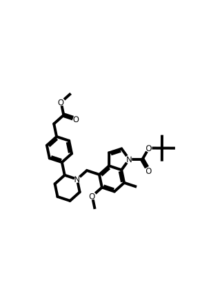 COC(=O)Cc1ccc(C2CCCCN2Cc2c(OC)cc(C)c3c2ccn3C(=O)OC(C)(C)C)cc1